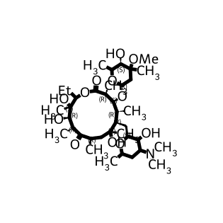 CCC1OC(=O)[C@H](C)[C@@H](O[C@H]2CC(C)(OC)[C@@H](O)C(C)O2)[C@H](C)[C@@H](C[C@@H]2OC(C)CC(N(C)C)C2O)[C@](C)(O)C[C@@H](C)C(=O)[C@H](C)[C@@H](O)[C@]1(C)O